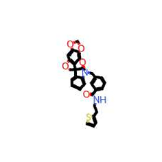 O=C(NCCc1cccs1)c1cccc(CN2C(=O)C3(COc4cc5c(cc43)OCO5)c3ccccc32)c1